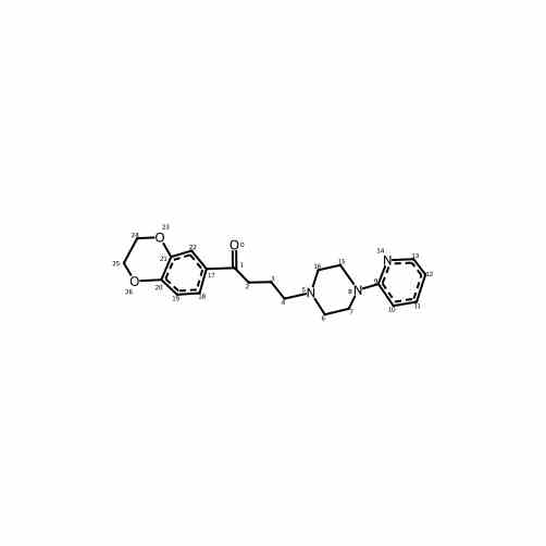 O=C(CCCN1CCN(c2ccccn2)CC1)c1ccc2c(c1)OCCO2